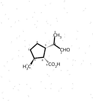 CC(C=O)[C@H]1CC[C@H](C)[C@H]1C(=O)O